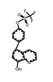 O=S(=O)(Oc1ccc(-c2ccc(O)c3ncccc23)cc1)C(F)(F)F